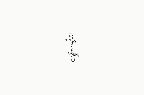 NC(Cc1ccccc1)C(=O)OCCCCOC(=O)C(N)Cc1ccccc1